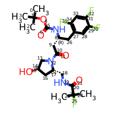 CC(C)(C)OC(=O)N[C@@H](CC(=O)N1C[C@H](O)C[C@H]1CNC(=O)C(C)(C)F)Cc1cc(F)c(F)cc1F